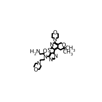 CC1(C)Cc2c(c(N3CCOCC3)nc3sc4c(N(CCN5CCOCC5)C(=O)CN)ncnc4c23)CO1